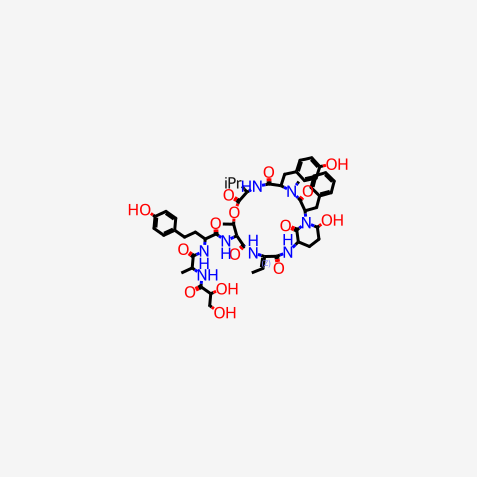 C/C=C1\NC(=O)C(NC(=O)C(CCc2ccc(O)cc2)NC(=O)C(C)NC(=O)C(O)CO)C(C)OC(=O)C(C(C)C)NC(=O)C(Cc2ccc(O)cc2)N(C)C(=O)C(Cc2ccccc2)N2C(=O)C(CCC2O)NC1=O